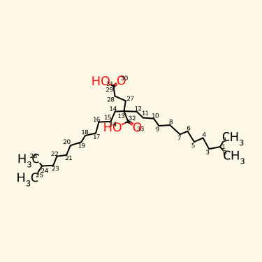 CC(C)CCCCCCCCCCC(CCCCCCCCCCC(C)C)(CCC(=O)O)C(=O)O